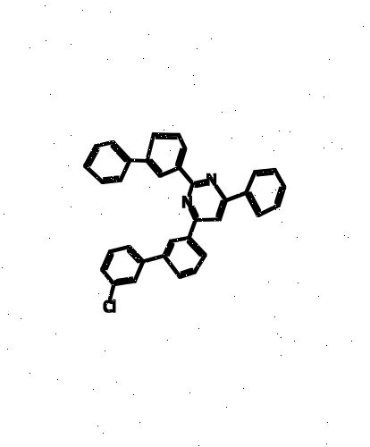 Clc1cccc(-c2cccc(-c3cc(-c4ccccc4)nc(-c4cccc(-c5ccccc5)c4)n3)c2)c1